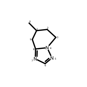 CC1CCn2ncnc2C1